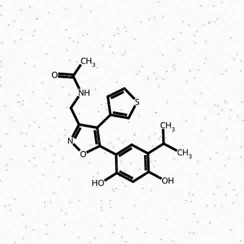 CC(=O)NCc1noc(-c2cc(C(C)C)c(O)cc2O)c1-c1ccsc1